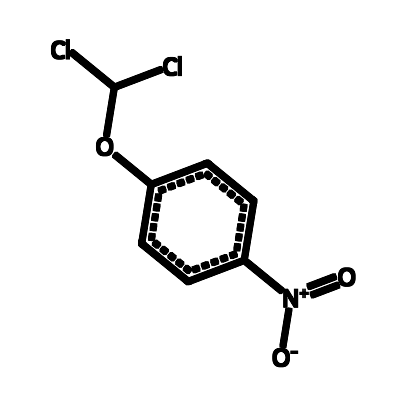 O=[N+]([O-])c1ccc(OC(Cl)Cl)cc1